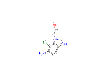 Nc1ccc2c(c1Br)N(CCO)CN2